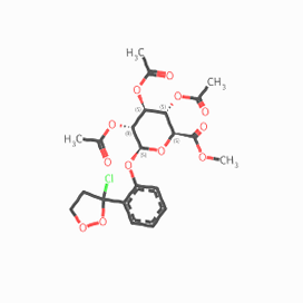 COC(=O)[C@H]1O[C@@H](Oc2ccccc2C2(Cl)CCOO2)[C@H](OC(C)=O)[C@@H](OC(C)=O)[C@@H]1OC(C)=O